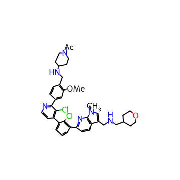 COc1cc(-c2nccc(-c3cccc(-c4ccc5c(CNCC6CCOCC6)cn(C)c5n4)c3Cl)c2Cl)ccc1CNC1CCN(C(C)=O)CC1